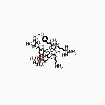 CC(C)C[C@H](NC(=O)[C@H](CC(C)C)NC(=O)[C@H](CCCCN)NC(=O)[C@H](CCCCNC(=N)N)NC(=O)[C@@H](C)Cc1ccc(O)cc1)C(=O)N[C@@H](CCCCN)C(=O)N[C@@H](CO)C(N)=O